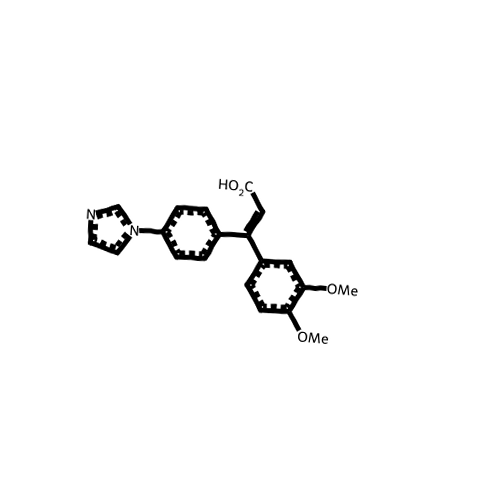 COc1ccc(C(=CC(=O)O)c2ccc(-n3ccnc3)cc2)cc1OC